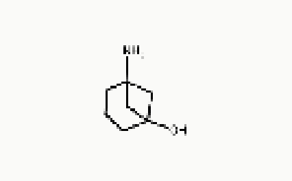 NC12CCCC(O)(C1)C2